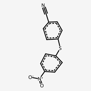 N#Cc1ccc(Sc2ccc([N+](=O)[O-])cc2)cc1